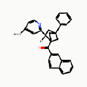 COc1ccnc([C@@H]2CC3(c4ccccc4)CC2(C(=O)c2ccc4ccccc4c2)C3)c1